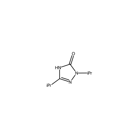 CC(C)c1nn(C(C)C)c(=O)[nH]1